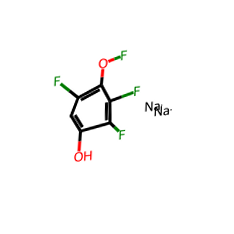 Oc1cc(F)c(OF)c(F)c1F.[Na].[Na]